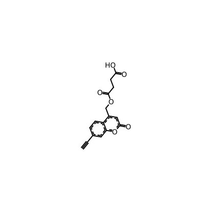 C#Cc1ccc2c(COC(=O)CCC(=O)O)cc(=O)oc2c1